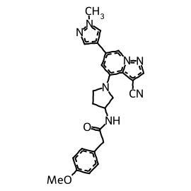 COc1ccc(CC(=O)NC2CCN(c3cc(-c4cnn(C)c4)cn4ncc(C#N)c34)C2)cc1